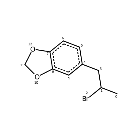 CC(Br)Cc1ccc2c(c1)OCO2